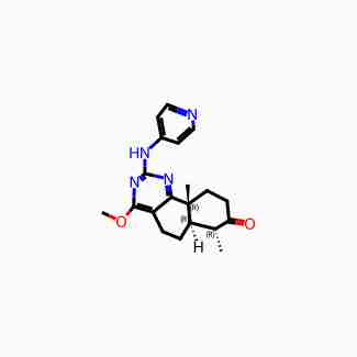 COc1nc(Nc2ccncc2)nc2c1CC[C@@H]1[C@@H](C)C(=O)CC[C@@]21C